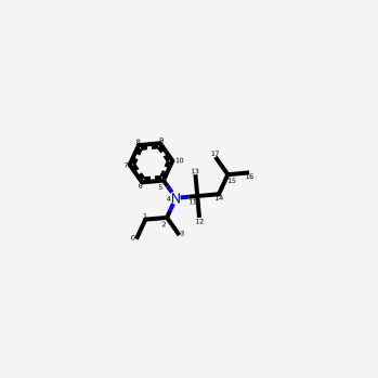 CCC(C)N(c1ccccc1)C(C)(C)CC(C)C